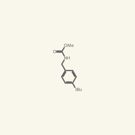 COC(=O)NCc1ccc(C(C)(C)C)cc1